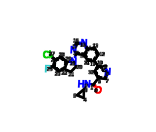 O=C(NC1CC1)c1cncc(-c2ccc3ncnc(N4CCc5cc(F)c(Cl)cc54)c3c2)c1